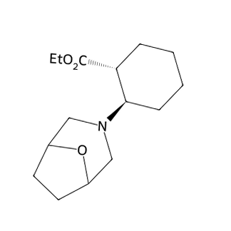 CCOC(=O)[C@@H]1CCCC[C@H]1N1CC2CCC(C1)O2